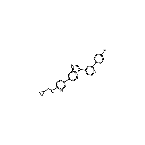 Fc1ccc(-c2cc(-c3cnc4cc(-c5ccc(OCC6CC6)nc5)ccn34)ccn2)cc1